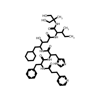 CCC(C)C(NC(=O)CC(O)C(CC1CCCCC1)NC(=O)C(Cc1cnc[nH]1)NC(=O)C(Cc1ccccc1)NC(=O)CCc1cccnc1)C(=O)NC(C)(CO)CO